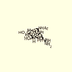 CSC[C@H](NC(C)=O)C(=O)N[C@@H](CCCNC(=N)N)C(=O)N[C@H](C(=O)N[C@@H](CO)C(=O)N[C@@H](C)C(=O)O)C(C)C